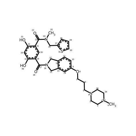 CN1CCN(CCCOc2ccc3c(c2)CN(C(=O)c2cc(C(=O)N(C)Cc4cccs4)c(O)cc2O)C3)CC1